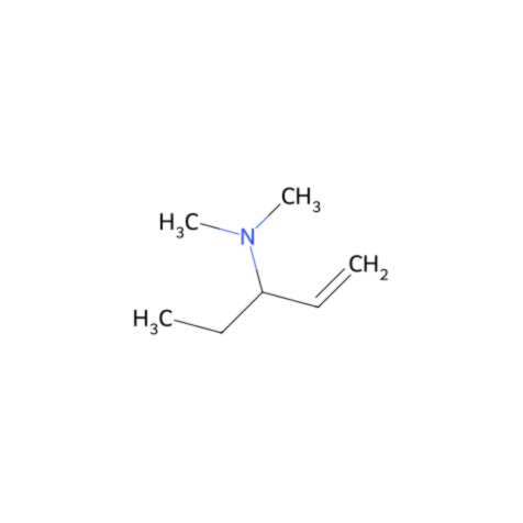 C=CC(CC)N(C)C